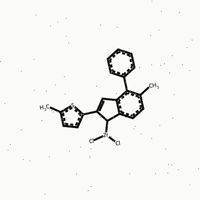 Cc1ccc(C2=Cc3c(ccc(C)c3-c3ccccc3)[CH]2[Zr]([Cl])[Cl])s1